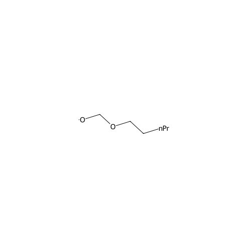 CCCCCOC[O]